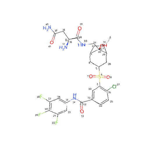 C[C@H]1CC2CC(S(=O)(=O)c3cc(C(=O)Nc4cc(F)c(F)c(F)c4)ccc3Cl)CC1[C@@]2(O)CNC(=O)[C@@H](N)CC(N)=O